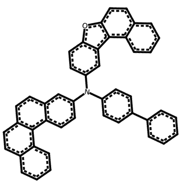 c1ccc(-c2ccc(N(c3ccc4c(ccc5ccc6ccccc6c54)c3)c3ccc4oc5ccc6ccccc6c5c4c3)cc2)cc1